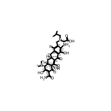 CC(C)CN(CC(=O)O)Cc1c(N)c(O)c2c(c1F)C[C@H]1C[C@H]3[C@H](N(C)C)C(O)=C(C(N)=O)C(=O)[C@@]3(O)C(O)=C1C2=O